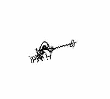 CC(C)N1CCN(c2ccc(C(=O)NCCCCCCCCCCCCCCBr)cn2)CC1